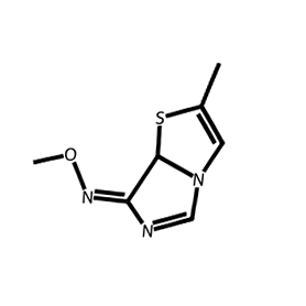 CON=C1N=CN2C=C(C)SC12